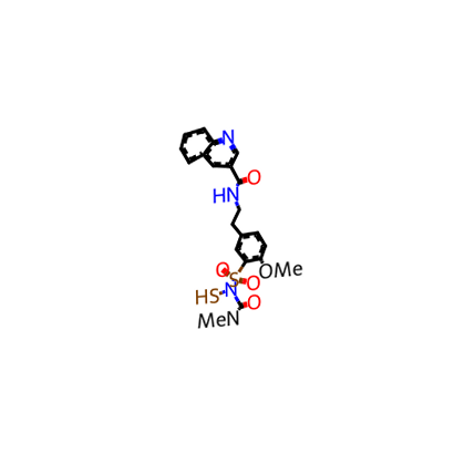 CNC(=O)N(S)S(=O)(=O)c1cc(CCNC(=O)c2cnc3ccccc3c2)ccc1OC